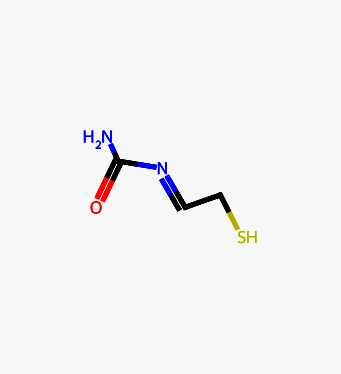 NC(=O)N=CCS